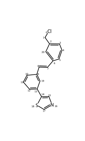 ClCc1cccc(C=Cc2cccc(-c3cncs3)c2)c1